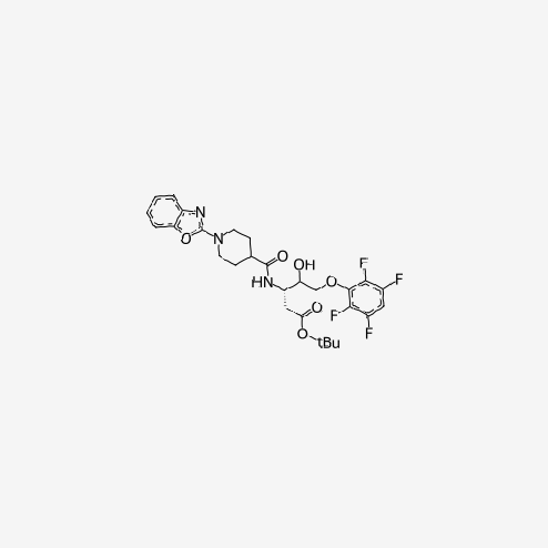 CC(C)(C)OC(=O)C[C@H](NC(=O)C1CCN(c2nc3ccccc3o2)CC1)C(O)COc1c(F)c(F)cc(F)c1F